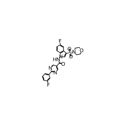 O=C(Nn1cc(S(=O)(=O)N2CCOCC2)c2cc(F)ccc21)c1cnc(-c2cccc(F)c2)nc1